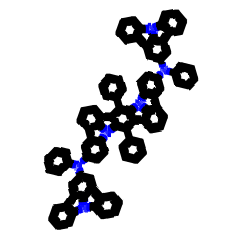 c1ccc(-c2c3c4cccc5c6cc(N(c7ccccc7)c7cc8c9ccccc9n9c%10ccccc%10c(c7)c89)ccc6n(c3c(-c3ccccc3)c3c6cccc7c8cc(N(c9ccccc9)c9cc%10c%11ccccc%11n%11c%12ccccc%12c(c9)c%10%11)ccc8n(c23)c76)c54)cc1